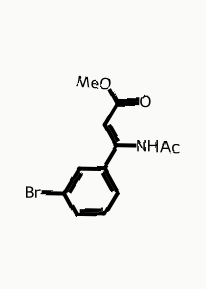 COC(=O)C=C(NC(C)=O)c1cccc(Br)c1